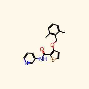 Cc1cccc(C)c1COc1ccsc1C(=O)Nc1cccnc1